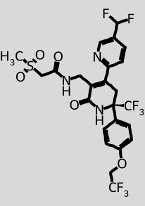 CS(=O)(=O)CC(=O)NCC1=C(c2ccc(C(F)F)cn2)C[C@@](c2ccc(OCC(F)(F)F)cc2)(C(F)(F)F)NC1=O